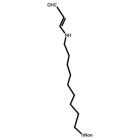 CCCCCCCCCCCCCCCCCCNC=CC=O